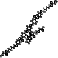 C=CC(=O)OCCCCCCOc1ccc(OC(=O)C2CCC(COc3ccc(OCC4CCC(C(=O)Oc5ccc(OCCCCCCOC(=O)C=C)cc5)CC4)c(/C=N/N(C(=O)CCCOCC4CO4)c4nc5ccccc5s4)c3)CC2)cc1